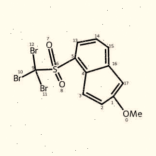 COc1ccc2c(S(=O)(=O)C(Br)(Br)Br)cccc2c1